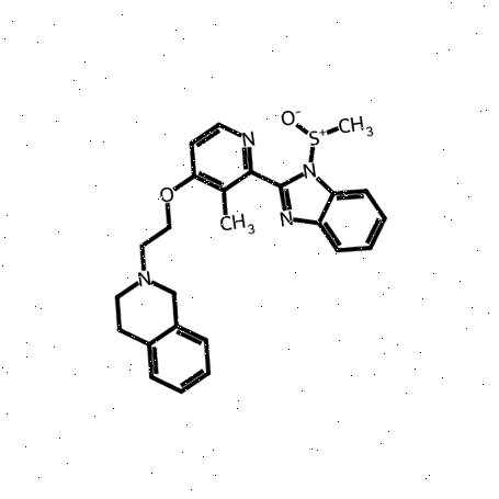 Cc1c(OCCN2CCc3ccccc3C2)ccnc1-c1nc2ccccc2n1[S+](C)[O-]